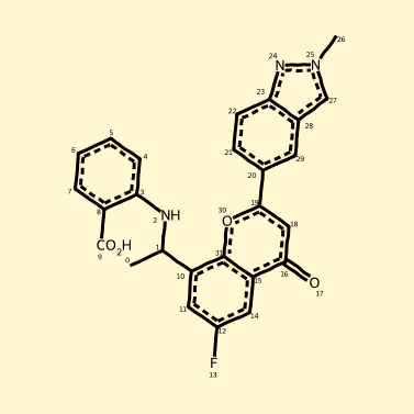 CC(Nc1ccccc1C(=O)O)c1cc(F)cc2c(=O)cc(-c3ccc4nn(C)cc4c3)oc12